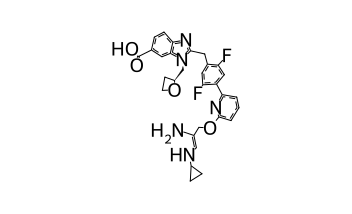 N/C(=C\NC1CC1)COc1cccc(-c2cc(F)c(Cc3nc4ccc(C(=O)O)cc4n3C[C@@H]3CCO3)cc2F)n1